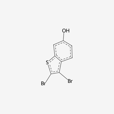 Oc1ccc2c(Br)c(Br)sc2c1